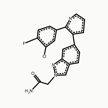 NC(=O)Cn1cc2ccc(-c3cccnc3-c3ccc(F)c(Cl)c3)cc2n1